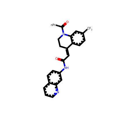 CCCC(=O)N1CC/C(=C\C(=O)Nc2ccc3cccnc3c2)c2ccc(C(F)(F)F)cc21